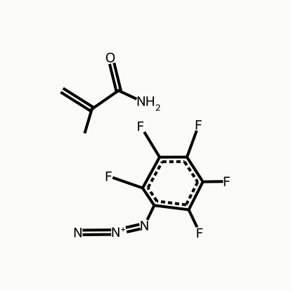 C=C(C)C(N)=O.[N-]=[N+]=Nc1c(F)c(F)c(F)c(F)c1F